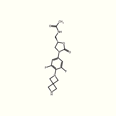 CC(=O)NC[C@@H]1CN(c2cc(F)c(N3CC4(CNC4)C3)c(F)c2)C(=O)O1